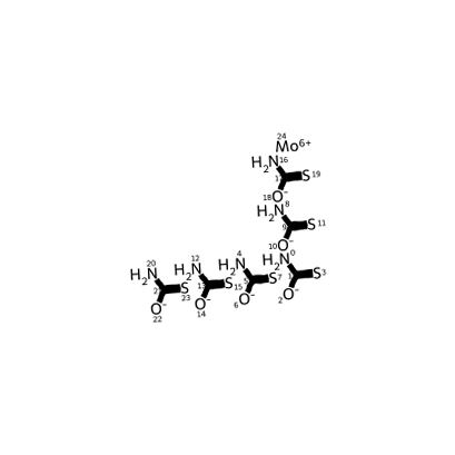 NC([O-])=S.NC([O-])=S.NC([O-])=S.NC([O-])=S.NC([O-])=S.NC([O-])=S.[Mo+6]